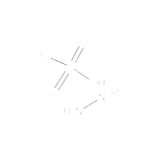 NN.O=S(=O)(O)O.[Zn]